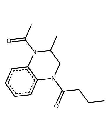 CCCC(=O)N1CC(C)N(C(C)=O)c2ccccc21